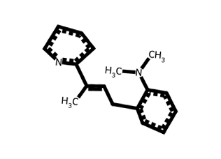 C/C(=C\Cc1ccccc1N(C)C)c1ccccn1